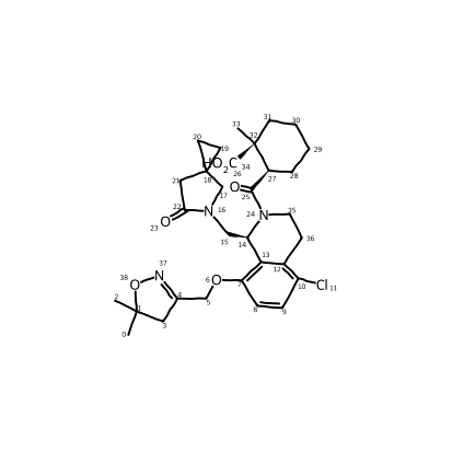 CC1(C)CC(COc2ccc(Cl)c3c2[C@@H](CN2CC4(CC4)CC2=O)N(C(=O)[C@@H]2CCCC[C@]2(C)C(=O)O)CC3)=NO1